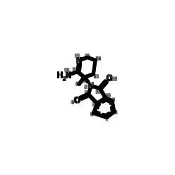 CC1(N2C(=O)c3ccccc3C2=O)CCCN=C1N